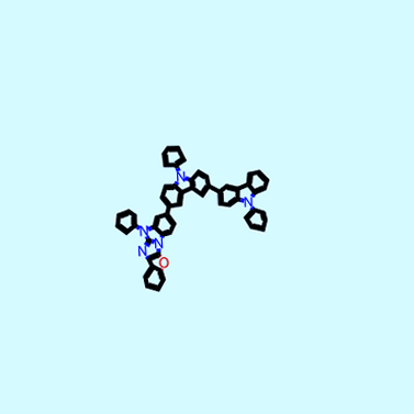 c1ccc(-n2c3ccccc3c3cc(-c4ccc5c(c4)c4cc(-c6ccc7c(c6)n(-c6ccccc6)c6nc8c9ccccc9oc8n76)ccc4n5-c4ccccc4)ccc32)cc1